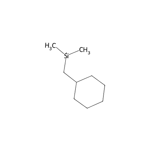 C[Si](C)CC1CCCCC1